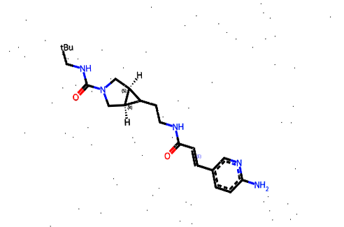 CC(C)(C)CNC(=O)N1C[C@@H]2C(CCNC(=O)/C=C/c3ccc(N)nc3)[C@@H]2C1